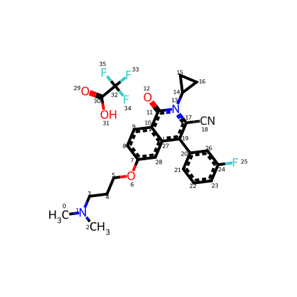 CN(C)CCCOc1ccc2c(=O)n(C3CC3)c(C#N)c(-c3cccc(F)c3)c2c1.O=C(O)C(F)(F)F